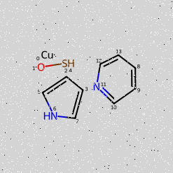 [Cu].[O]S.c1cc[nH]c1.c1ccncc1